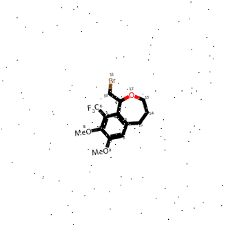 COc1cc2c(c(C(F)(F)F)c1OC)C(CBr)OCCC2